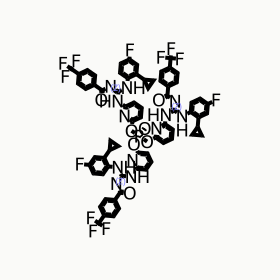 O=C(/N=C(\Nc1cccc(OP(=O)(Oc2cccc(N/C(=N\C(=O)c3ccc(C(F)(F)F)cc3)Nc3ccc(F)cc3C3CC3)n2)Oc2cccc(N/C(=N\C(=O)c3ccc(C(F)(F)F)cc3)Nc3ccc(F)cc3C3CC3)n2)n1)Nc1ccc(F)cc1C1CC1)c1ccc(C(F)(F)F)cc1